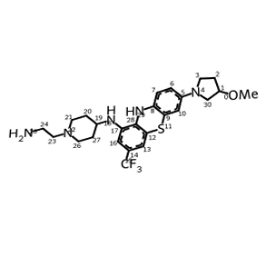 COC1CCN(c2ccc3c(c2)Sc2cc(C(F)(F)F)cc(NC4CCN(CCN)CC4)c2N3)C1